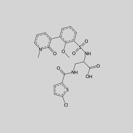 COc1c(-c2cccn(C)c2=O)cccc1S(=O)(=O)NC(CNC(=O)c1ccc(Cl)s1)C(=O)O